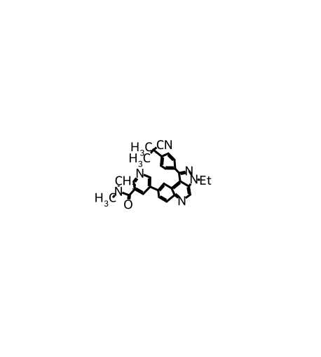 CCn1nc(-c2ccc(C(C)(C)C#N)cc2)c2c3cc(-c4cncc(C(=O)N(C)C)c4)ccc3ncc21